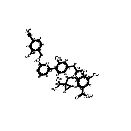 N#Cc1ccc(COc2cccc(-c3ccc(Cc4nc5c(F)cc(C(=O)O)cc5n4CC4(C(F)F)CC4)cc3F)n2)c(F)c1